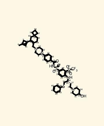 CC12CC(C3=C(CN4CCN(c5ccc(C(=O)NS(=O)(=O)c6ccc(N[C@H](CCN7CCC(O)CC7)CSc7ccccc7)c(S(=O)(=O)C(F)(F)F)c6)cc5)CC4)CCC4(CCC4)C3)(C1)C2